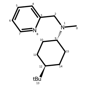 CN(Cc1ccccn1)[C@H]1CC[C@H](C(C)(C)C)CC1